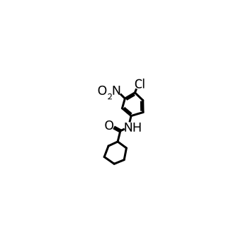 O=C(Nc1ccc(Cl)c([N+](=O)[O-])c1)C1CCCCC1